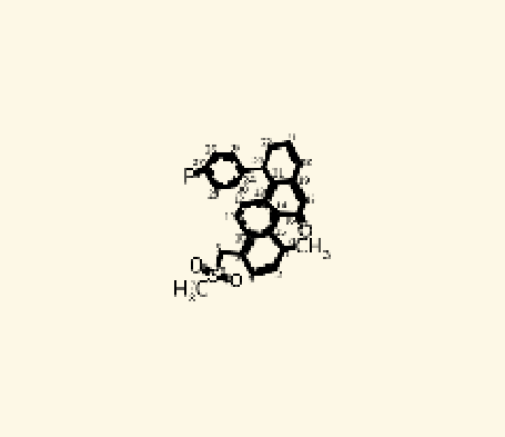 CC1C=CC(CS(C)(=O)=O)=c2ccc3c(c21)C(=O)C=C1C=CC[C@H](c2ccc(F)cc2)C=31